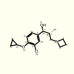 C[C@H](CN1CCC1)[C@H](O)c1ccc(OC2CC2)c(Cl)c1